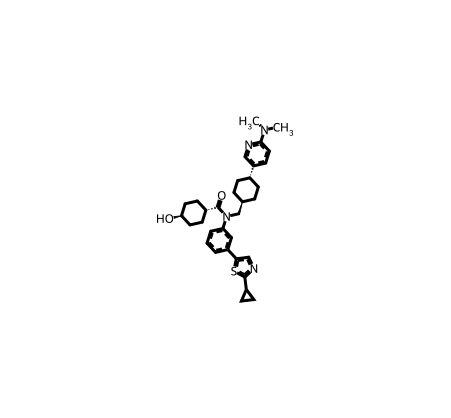 CN(C)c1ccc([C@H]2CC[C@H](CN(c3cccc(-c4cnc(C5CC5)s4)c3)C(=O)[C@H]3CC[C@H](O)CC3)CC2)cn1